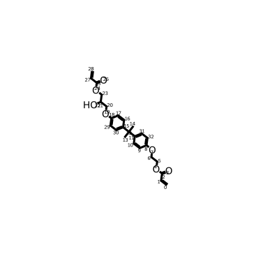 C=CC(=O)OCCOc1ccc(C(C)(C)c2ccc(OCC(O)COC(=O)C=C)cc2)cc1